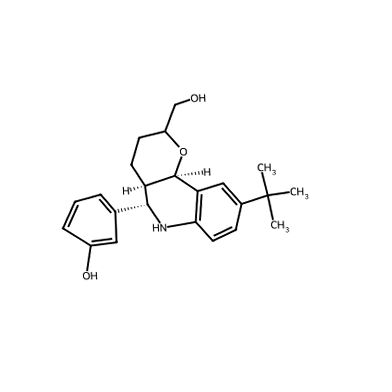 CC(C)(C)c1ccc2c(c1)[C@@H]1OC(CO)CC[C@@H]1[C@@H](c1cccc(O)c1)N2